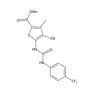 COC(=O)c1sc(NC(=O)Nc2ccc(C(F)(F)F)cc2)c(C#N)c1C